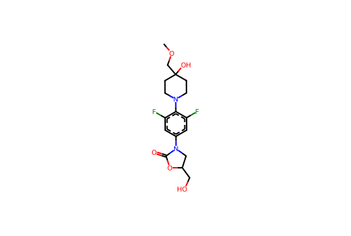 COCC1(O)CCN(c2c(F)cc(N3CC(CO)OC3=O)cc2F)CC1